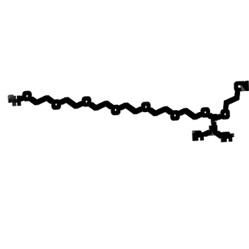 [2H]OCCOCCOCCOCCOCCOCCOP(OCCC#N)N(C(C)C)C(C)C